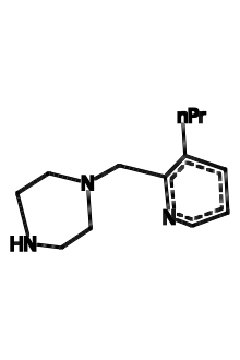 CCCc1cccnc1CN1CCNCC1